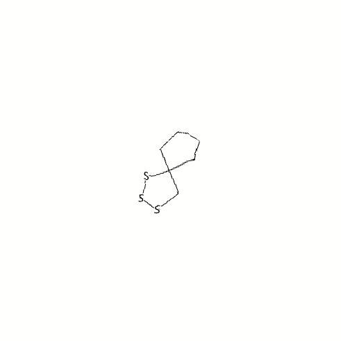 C1CCC2(C1)CSSS2